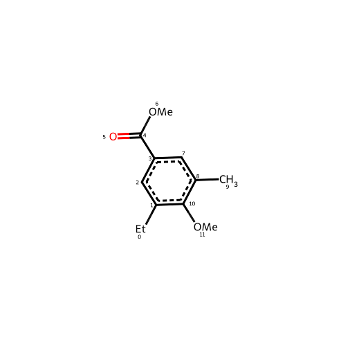 CCc1cc(C(=O)OC)cc(C)c1OC